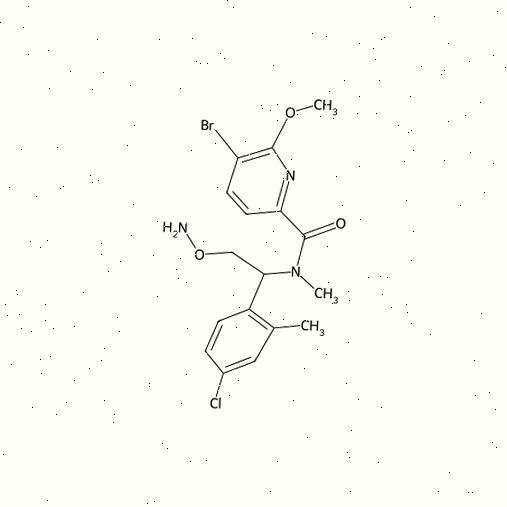 COc1nc(C(=O)N(C)C(CON)c2ccc(Cl)cc2C)ccc1Br